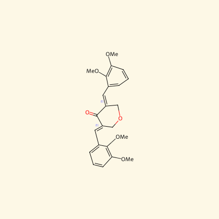 COc1cccc(/C=C2\COC/C(=C\c3cccc(OC)c3OC)C2=O)c1OC